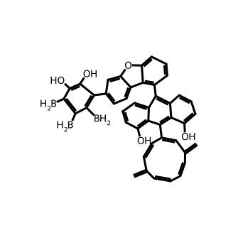 Bc1c(B)c(O)c(O)c(-c2ccc3c(c2)oc2cccc(-c4c5cccc(O)c5c(-c5ccc(=C)ccccc(=C)c5)c5c(O)cccc45)c23)c1B